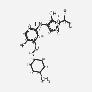 Cc1c(Nc2ncc(F)c(OC[C@H]3CC[C@H](C)CC3)n2)cnn1C(F)F